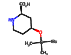 CC(C)(C)[Si](C)(C)O[C@H]1CCN[C@@H](C(=O)O)C1